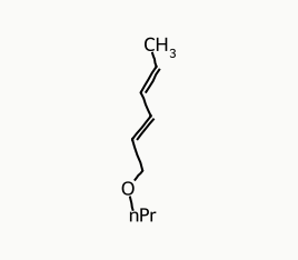 [CH2]CCOCC=CC=CC